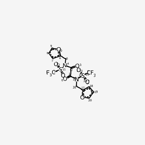 O=C(C(=O)N(Cc1ccco1)S(=O)(=O)C(F)(F)F)N(Cc1ccco1)S(=O)(=O)C(F)(F)F